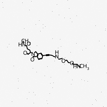 CNCCOCCOCCNCCC#Cc1ccc2c(c1)CN(C(C=O)CCC(=O)NC)C2=O